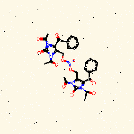 CC(=O)n1c(CO[N+](=O)OCc2c(C(=O)c3ccccc3)n(C(C)=O)c(=O)n2C(C)=O)c(C(=O)c2ccccc2)n(C(C)=O)c1=O